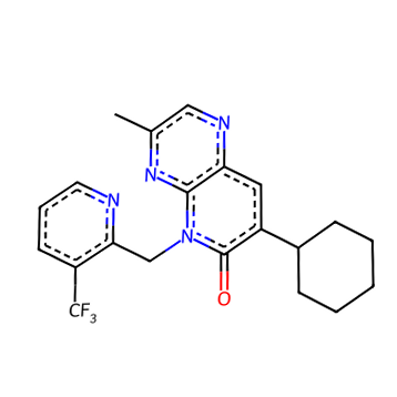 Cc1cnc2cc(C3CCCCC3)c(=O)n(Cc3ncccc3C(F)(F)F)c2n1